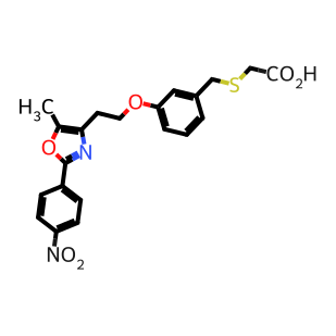 Cc1oc(-c2ccc([N+](=O)[O-])cc2)nc1CCOc1cccc(CSCC(=O)O)c1